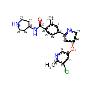 CCc1cc(-c2cc(Oc3cnc(C)c(Cl)c3)ccn2)ccc1C(=O)NC1CCNCC1